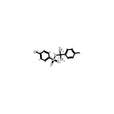 Cc1ccc(C(OS(=O)(=O)c2ccc(Cl)cc2)(C(F)(F)F)C(F)(F)F)cc1